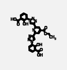 CCOC(=O)c1cc(-c2cn(-c3cccc(C(=O)O)c3O)nn2)nc(-c2cn(-c3cccc(C(=O)O)c3O)nn2)c1